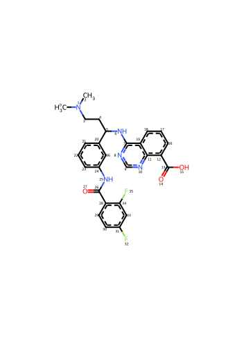 CN(C)CCC(Nc1ncnc2c(C(=O)O)cccc12)c1cccc(NC(=O)c2ccc(F)cc2F)c1